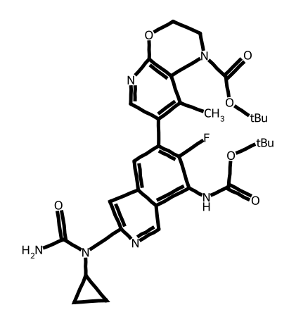 Cc1c(-c2cc3cc(N(C(N)=O)C4CC4)ncc3c(NC(=O)OC(C)(C)C)c2F)cnc2c1N(C(=O)OC(C)(C)C)CCO2